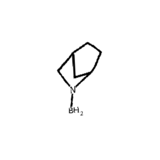 BN1CC2CCC1C2